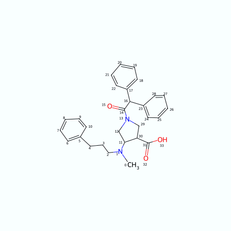 CN(CCCc1ccccc1)C1CN(C(=O)C(c2ccccc2)c2ccccc2)CC1C(=O)O